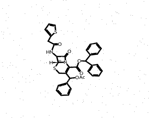 CC(=O)OC(C1=C(C(=O)OC(c2ccccc2)c2ccccc2)N2C(=O)C(NC(=O)Cc3cccs3)[C@H]2SC1)c1ccccc1